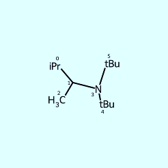 CC(C)C(C)N(C(C)(C)C)C(C)(C)C